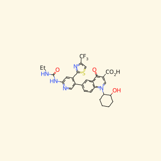 CCNC(=O)Nc1cc(-c2nc(C(F)(F)F)cs2)c(-c2ccc3c(c2)c(=O)c(C(=O)O)cn3C2CCCCC2O)cn1